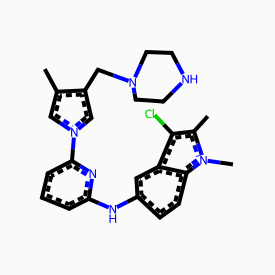 Cc1cn(-c2cccc(Nc3ccc4c(c3)c(Cl)c(C)n4C)n2)cc1CN1CCNCC1